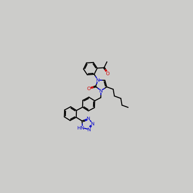 CCCCCc1cn(-c2ccccc2C(C)=O)c(=O)n1Cc1ccc(-c2ccccc2-c2nnn[nH]2)cc1